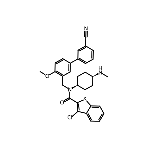 CN[C@H]1CC[C@@H](N(Cc2cc(-c3cccc(C#N)c3)ccc2OC)C(=O)c2sc3ccccc3c2Cl)CC1